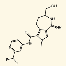 Cn1cc2c(c1C(=O)Nc1ccnc(C(F)F)c1)CCC(CO)NS2=N